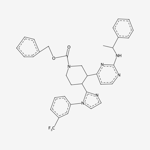 CC(Nc1nccc(C2CN(C(=O)OCc3ccccc3)CCC2c2nccn2-c2cccc(C(F)(F)F)c2)n1)c1ccccc1